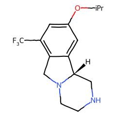 CC(C)Oc1cc2c(c(C(F)(F)F)c1)CN1CCNC[C@@H]21